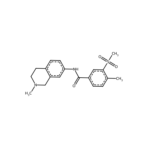 Cc1ccc(C(=O)Nc2ccc3c(c2)CN(C)CC3)cc1S(C)(=O)=O